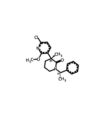 COc1nc(Cl)ccc1[C@@]1(C)CCCN([C@@H](C)c2ccccc2)C1=O